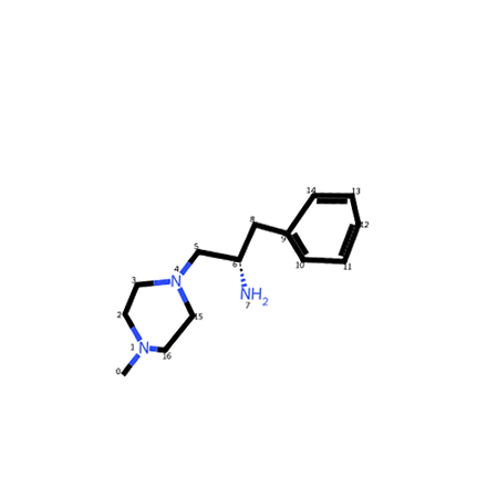 CN1CCN(C[C@@H](N)Cc2ccccc2)CC1